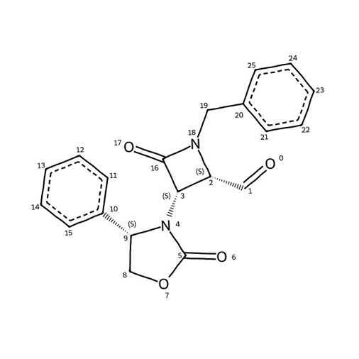 O=C[C@@H]1[C@H](N2C(=O)OC[C@@H]2c2ccccc2)C(=O)N1Cc1ccccc1